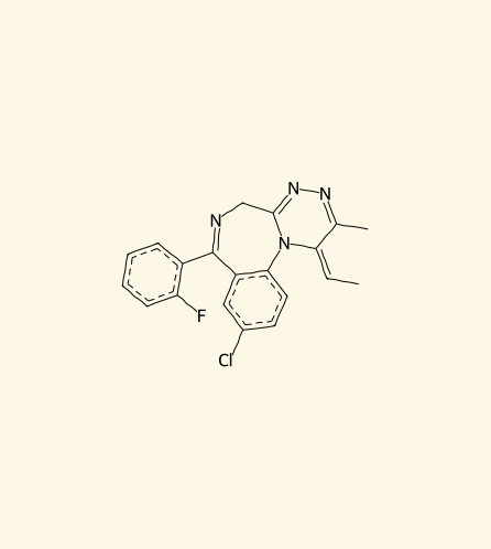 CC=C1C(C)=NN=C2CN=C(c3ccccc3F)c3cc(Cl)ccc3N12